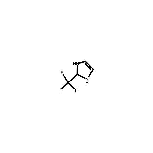 FC(F)(F)C1NC=CN1